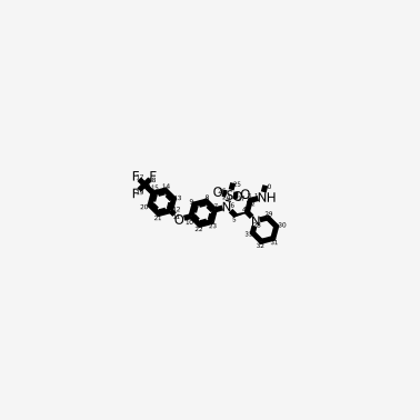 CNC(=O)[C@H](CN(c1ccc(Oc2ccc(C(F)(F)F)cc2)cc1)S(C)(=O)=O)N1CCCCC1